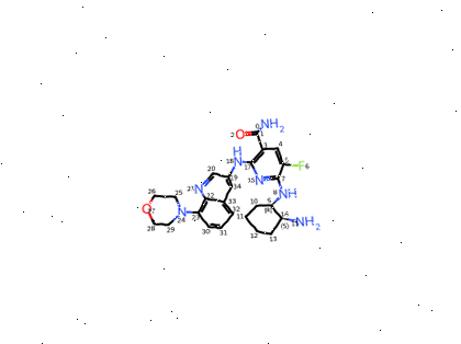 NC(=O)c1cc(F)c(N[C@@H]2CCCC[C@@H]2N)nc1Nc1cnc2c(N3CCOCC3)cccc2c1